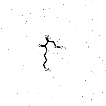 C=C(C[Te]C)C(=O)OCCCC